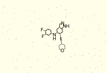 Fc1ccc(Nc2cc3cn[nH]c3cc2C#CC2CCOCC2)cc1F